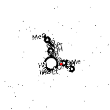 CCCN([C@H]1C[C@@H](C)O[C@@H](O[C@@H]2[C@@H](C)[C@H](O[C@H]3C[C@@](C)(OC)[C@](O)(CN4CCCCC4)[C@H](C)O3)[C@@H](C)C(=O)O[C@H](CC)[C@@](C)(O)[C@H](O)[C@@H](C)NC[C@H](C)C[C@@]2(C)O)[C@@H]1O)S(=O)(=O)c1ccc(OC)cc1